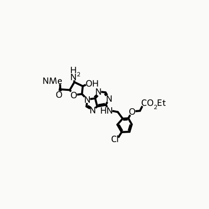 CCOC(=O)COc1ccc(Cl)cc1CNc1ncnc2c1ncn2C1OC(C(=O)NC)C(N)C1O